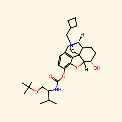 CC(C)[C@@H](COC(C)(C)C)NC(=O)Oc1ccc2c3c1O[C@H]1[C@@H](O)CCC4[C@@H](C2)N(CC2CCC2)CC[C@@]341